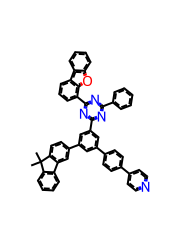 CC1(C)c2ccccc2-c2cc(-c3cc(-c4ccc(-c5ccncc5)cc4)cc(-c4nc(-c5ccccc5)nc(-c5cccc6c5oc5ccccc56)n4)c3)ccc21